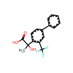 CC(O)(C(=O)O)c1ccc(-c2ccccc2)cc1C(F)(F)F